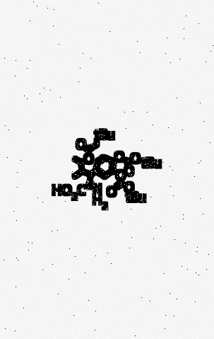 CC(OC(=O)CC(C)(C)C)C(C)C(c1ccc(OC(=O)OC(C)(C)C)c(OC(=O)OC(C)(C)C)c1)[C@H](N)C(=O)O